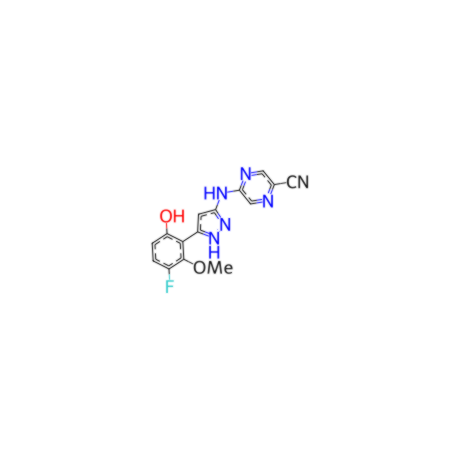 COc1c(F)ccc(O)c1-c1cc(Nc2cnc(C#N)cn2)n[nH]1